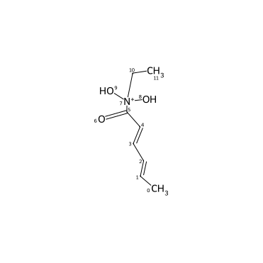 CC=CC=CC(=O)[N+](O)(O)CC